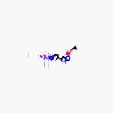 CNC(=O)Nc1cn2cc(-c3cnc4c(c3)N(C(=O)OCC3CC3)CC4)ccc2n1